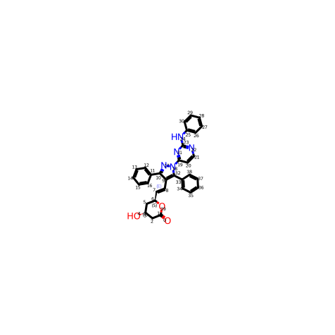 O=C1C[C@H](O)C[C@@H](/C=C/c2c(-c3ccccc3)nn(-c3ccnc(Nc4ccccc4)n3)c2-c2ccccc2)O1